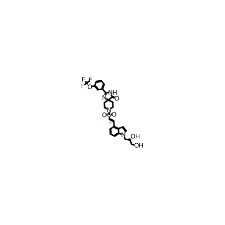 O=C1NC(c2cccc(OC(F)(F)F)c2)=NC12CCN(S(=O)(=O)/C=C/c1cccc3c1ccn3C[C@H](O)CO)CC2